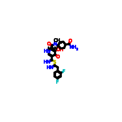 CNC1(N(C)C(=O)c2[nH]cc(C(=N)SC(=N)Cc3ccc(F)cc3F)c(=O)c2O)CCC(C(N)=O)CC1